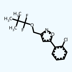 CC(C)(C)C(F)(F)OCc1cc(-c2ccccc2Cl)on1